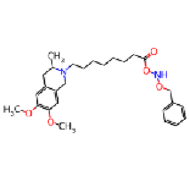 COc1cc2c(cc1OC)CN(CCCCCCCC(=O)ONOCc1ccccc1)C(C)C2